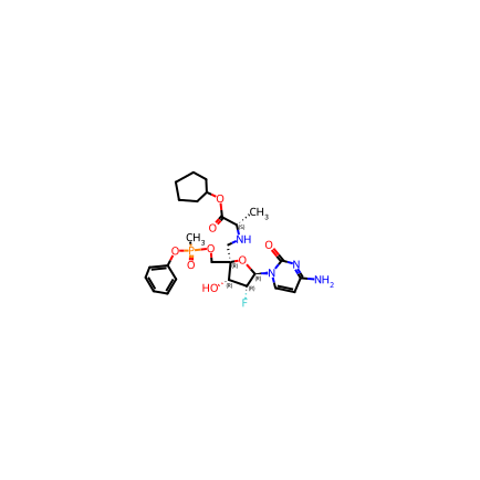 C[C@H](NC[C@]1(COP(C)(=O)Oc2ccccc2)O[C@@H](n2ccc(N)nc2=O)[C@H](F)[C@@H]1O)C(=O)OC1CCCCC1